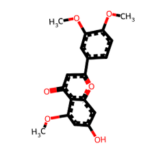 COc1ccc(-c2cc(=O)c3c(OC)cc(O)cc3o2)cc1OC